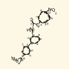 COc1ccc(-c2cccc(NC(=O)Oc3ccc([N+](=O)[O-])cc3)c2)cc1